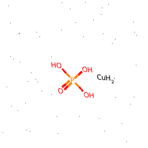 O=P(O)(O)O.[CuH2]